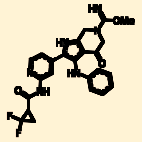 COC(=N)N1CC(=O)c2c([nH]c(-c3ccnc(NC(=O)C4CC4(F)F)c3)c2Nc2ccccc2)C1